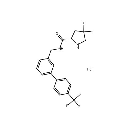 Cl.O=C(NCc1cccc(-c2ccc(C(F)(F)F)cc2)c1)[C@@H]1CC(F)(F)CN1